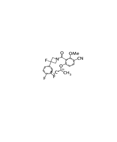 COc1c(C#N)ccc(O[C@@H](C)C(F)(F)F)c1C(=O)N1CC(F)(c2ccc(F)c(F)c2)C1